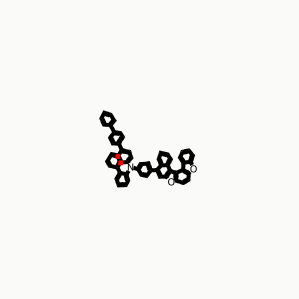 c1ccc(-c2ccc(-c3ccc(N(c4ccc(-c5cc6oc7ccc8oc9ccccc9c8c7c6c6ccccc56)cc4)c4ccccc4-c4ccccc4)cc3)cc2)cc1